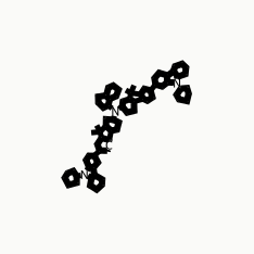 CC1(C)c2cc(-c3ccc4c(c3)c3ccccc3n4-c3ccccc3)ccc2-c2ccc(N(c3ccc4c(c3)C(C)(C)c3cc(-c5ccc6c7ccccc7n(-c7ccccc7)c6c5)ccc3-4)c3cccc4ccccc34)cc21